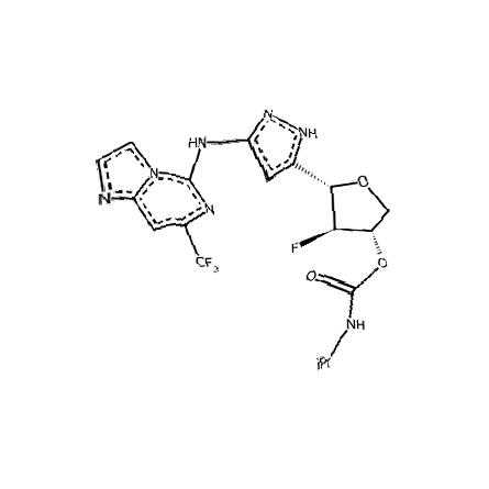 CC(C)NC(=O)O[C@H]1CO[C@@H](c2cc(Nc3nc(C(F)(F)F)cc4nccn34)n[nH]2)[C@@H]1F